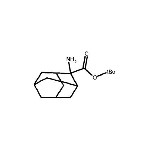 CC(C)(C)OC(=O)C1(N)C2CC3CC(C2)CC1C3